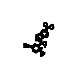 COC(=O)c1ccc2c(cnn2C(OC)C2C=C(Br)C=CC2(C)C2CC2)c1